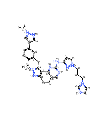 Cn1cc(-c2cccc(Cc3c4c(nn3C)CCc3cnc(Nc5ccn(CCCn6ccnc6)n5)nc3-4)c2)cn1